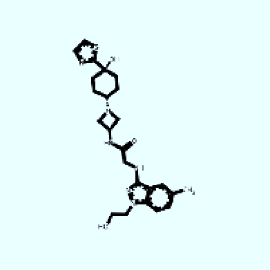 Cc1ccc2c(c1)c(NCC(=O)NC1CN([C@H]3CC[C@@](O)(c4nccs4)CC3)C1)nn2CCO